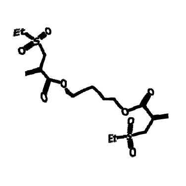 C=C(CS(=O)(=O)CC)C(=O)OCCCCOC(=O)C(=C)CS(=O)(=O)CC